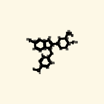 COc1cnc(Cn2c(N3CC[C@@H](F)[C@H](N)C3)nc3cc(F)ccc32)nc1